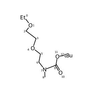 CCOCCOCCN(C)C(=O)OC(C)(C)C